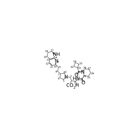 O=C(O)C(CCN1CCC(CCc2ccc3c(n2)NCCC3)C1)NC(=O)C1CCCCN1C(=O)C1CCC1